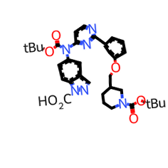 CC(C)(C)OC(=O)N1CCCC(COc2cccc(-c3nccc(N(C(=O)OC(C)(C)C)c4ccc5c(cnn5C(=O)O)c4)n3)c2)C1